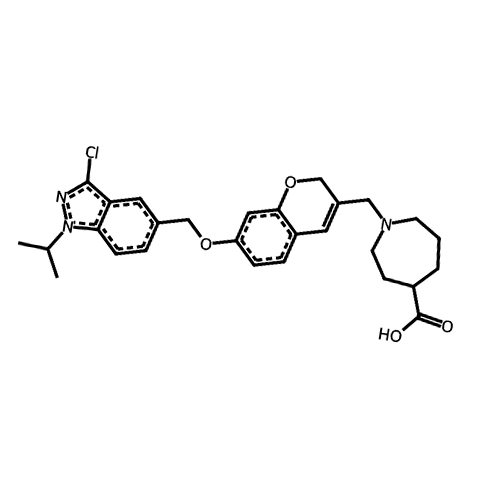 CC(C)n1nc(Cl)c2cc(COc3ccc4c(c3)OCC(CN3CCCC(C(=O)O)CC3)=C4)ccc21